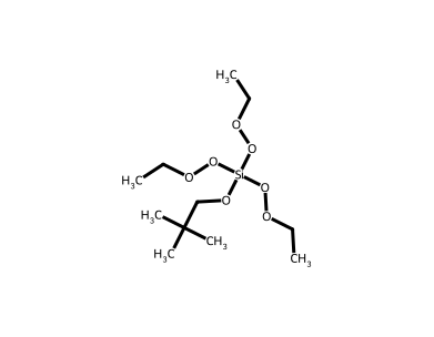 CCOO[Si](OCC(C)(C)C)(OOCC)OOCC